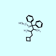 COC(c1ccccc1)(c1ccccc1)C(C)C(N)CC1CCC1.Cl